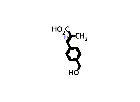 C/C(=C\c1ccc(CO)cc1)C(=O)O